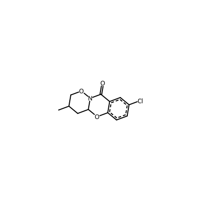 CC1CON2C(=O)c3cc(Cl)ccc3OC2C1